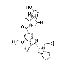 COc1cc(C(=O)N2C[C@H]3CC(=O)[C@@H]2[C@@H]3NC(=O)O)cc2nc(-c3cc4cccnc4n3CC3CC3)n(C)c12